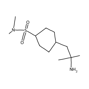 CN(C)S(=O)(=O)C1CCC(CC(C)(C)N)CC1